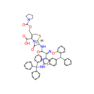 O=C(O)C1=C(COC(=O)N2CCCC2)CS[C@H]2C(NC(=O)C(=NOc3ccccc3C(c3ccccc3)c3ccccc3)c3csc(NC(c4ccccc4)(c4ccccc4)c4ccccc4)n3)C(=O)N12